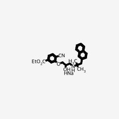 CCOC(=O)c1ccc(C#N)c(OCC(O)CNC(C)(C)Cc2ccc3ccccc3c2)c1.[NaH]